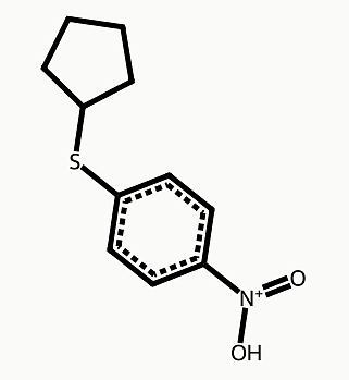 O=[N+](O)c1ccc(SC2CCCC2)cc1